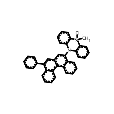 C[Si]1(C)c2ccccc2N(c2cc3cc(-c4ccccc4)c4ccccc4c3c3ccccc23)c2ccccc21